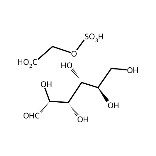 O=C(O)COS(=O)(=O)O.O=C[C@H](O)[C@@H](O)[C@H](O)[C@H](O)CO